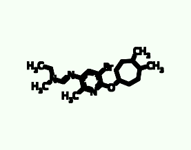 CCN(C)/C=N/c1cc(Br)c(OC2CCC(C)C(C)CC2)nc1C